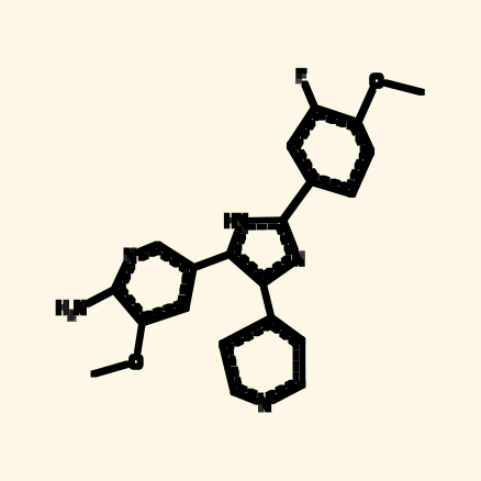 COc1ccc(-c2nc(-c3ccncc3)c(-c3cnc(N)c(OC)c3)[nH]2)cc1F